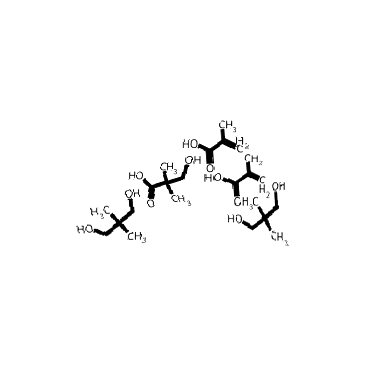 C=C(C)C(=O)O.C=C(C)C(=O)O.CC(C)(CO)C(=O)O.CC(C)(CO)CO.CC(C)(CO)CO